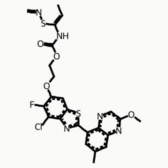 C=NS/C(=C\C)NC(=O)OCCOc1cc2sc(-c3cc(C)cc4nc(OC)cnc34)nc2c(Cl)c1F